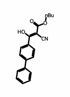 CCCCOC(=O)/C(C#N)=C(\O)c1ccc(-c2ccccc2)cc1